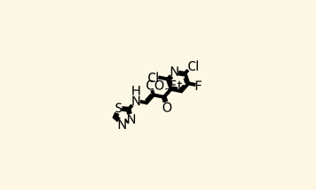 CCOC(=O)/C(=C\Nc1nncs1)C(=O)c1cc(F)c(Cl)nc1Cl